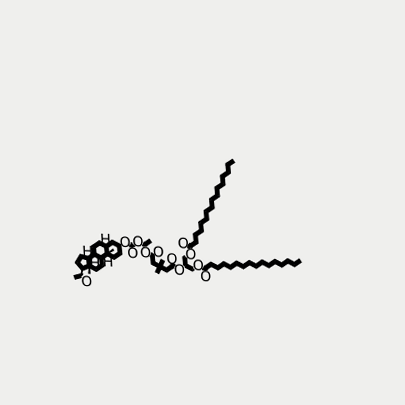 CCCCCCCCCCCCCCCC(=O)OCC(COC(=O)CCCCCCCCCCCCCCC)OC(=O)CC(C)(C)CC(=O)OC(C)OC(=O)O[C@@H]1CC[C@@]2(C)[C@@H](CC[C@@H]3[C@@H]2CC[C@]2(C)[C@@H](C(C)=O)CC[C@@H]32)C1